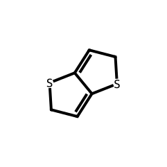 C1=C2SCC=C2SC1